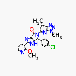 COc1ncccc1-c1nc2c([nH]1)[C@H](c1ccc(Cl)cc1)N(c1cc(C)c3nnn(C)c3n1)C2=O